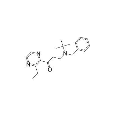 CCc1nccnc1C(=O)CCN(Cc1ccccc1)C(C)(C)C